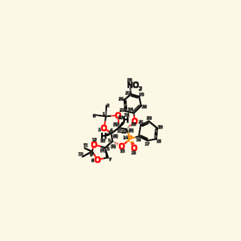 CC1(C)O[C@H]2[C@@H]([C@H]3COC(C)(C)O3)OP(=O)(c3ccccc3)[C@@H](Oc3ccc([N+](=O)[O-])cc3)[C@H]2O1